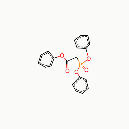 O=C(CP(=O)(Oc1ccccc1)Oc1ccccc1)Oc1ccccc1